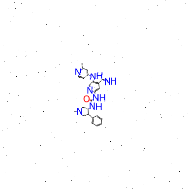 Cc1cc(Nc2cnc(NC(=O)NC3CN(C)CC3c3ccccc3)cc2C=N)ccn1